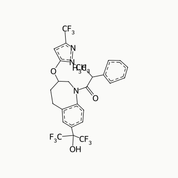 CC(C(=O)N1CC(Oc2cc(C(F)(F)F)nn2C)CCc2cc(C(O)(C(F)(F)F)C(F)(F)F)ccc21)c1ccccc1